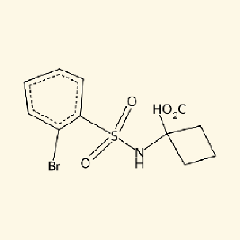 O=C(O)C1(NS(=O)(=O)c2ccccc2Br)CCC1